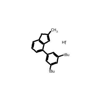 CC1=Cc2c(cccc2-c2cc(C(C)(C)C)cc(C(C)(C)C)c2)[CH]1.[Hf]